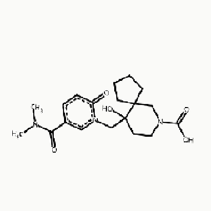 CN(C)C(=O)c1ccc(=O)n(CC2(O)CCN(C(=O)O)CC23CCCC3)c1